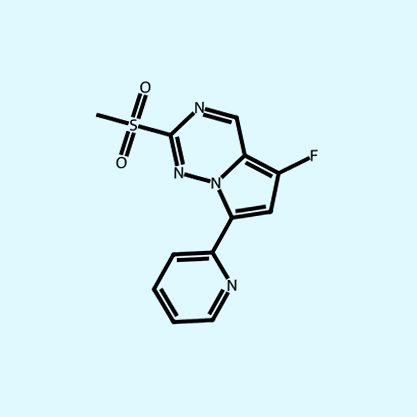 CS(=O)(=O)c1ncc2c(F)cc(-c3ccccn3)n2n1